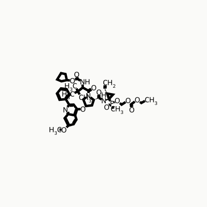 C=C[C@@H]1C[C@]1(NC(=O)[C@@H]1C[C@@H](Oc2cc(-c3ccccc3)nc3cc(OC)ccc23)CN1C(=O)C(NC(=O)OC1CCCC1)C(C)(C)C)P(C)(=O)OCOC(=O)OCC